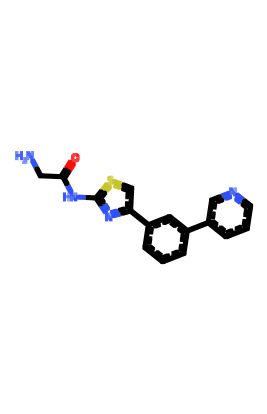 NCC(=O)Nc1nc(-c2cccc(-c3cccnc3)c2)cs1